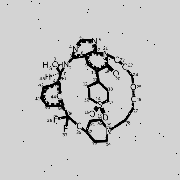 C[C@H]1Nc2ncnc3c2cc(C2CCS(=O)(=O)CC2)c(=O)n3CCCOCCCN2CCC(CC2)CC(F)(F)c2cccc1c2